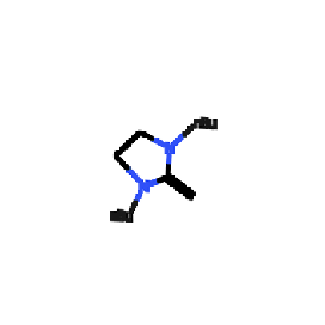 C=C1N(CCCC)CCN1CCCC